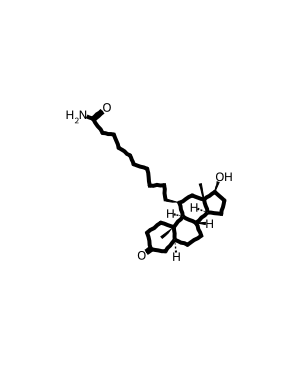 C[C@]12CCC(=O)C[C@@H]1CC[C@@H]1[C@@H]2[C@@H](CCCCCCCCCC(N)=O)C[C@]2(C)[C@@H](O)CC[C@@H]12